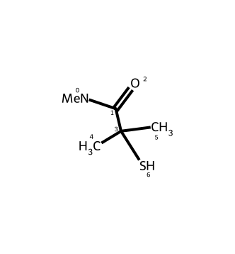 CNC(=O)C(C)(C)S